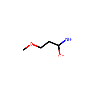 COCCC([NH])O